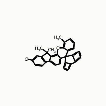 Cc1cccc2c1Oc1c(ccc3c1C(C)(C)c1cc(Cl)ccc1-3)C21c2ccccc2-c2ccccc21